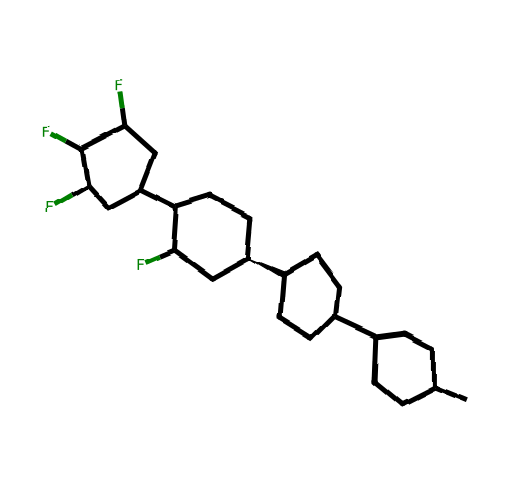 CC1CCC(C2CCC([C@@H]3CCC(C4CC(F)C(F)C(F)C4)C(F)C3)CC2)CC1